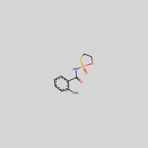 CC(=O)Oc1ccccc1C(=O)NP1(=O)OCCS1